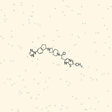 Cc1cn2cc(CC(=O)N3CCC4(CC3)CN(C3CCc5cc(-n6nccn6)ccc53)C4)nc2s1